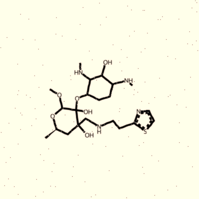 CNC1CCC(OC2(O)C(OC)O[C@H](C)CC2(O)CNCCc2nccs2)C(NC)C1O